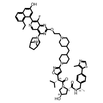 CCc1cccc2cc(O)cc(-c3ncc4c(N5CC6CCC(C5)N6)nc(OCCN5CCC(CC6CCN(c7cc([C@H](C(=O)N8C[C@H](O)C[C@H]8C(=O)N[C@@H](C)c8ccc(-c9scnc9C)cc8)C(C)C)on7)CC6)CC5)nc4c3F)c12